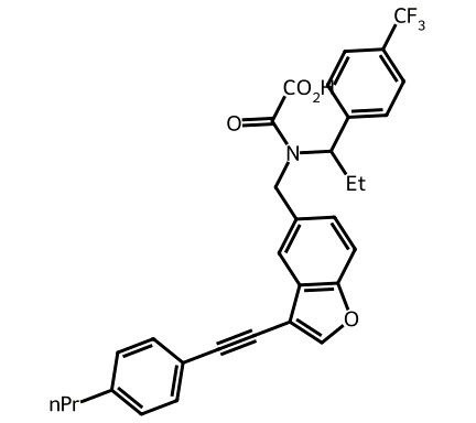 CCCc1ccc(C#Cc2coc3ccc(CN(C(=O)C(=O)O)C(CC)c4ccc(C(F)(F)F)cc4)cc23)cc1